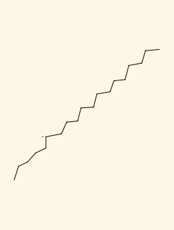 CCCCC[CH]CCCCCCCCCCCCC